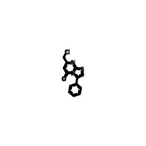 O=c1cc(CCl)nc2scc(-c3ccccc3)n12